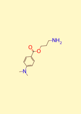 CN(C)c1ccc(C(=O)OCCCN)cc1